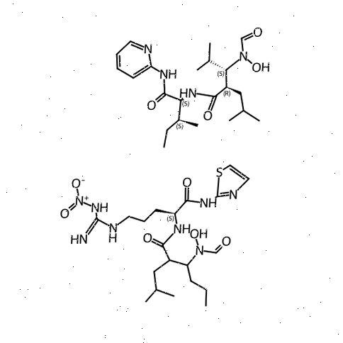 CCCC(C(CC(C)C)C(=O)N[C@@H](CCCNC(=N)N[N+](=O)[O-])C(=O)Nc1nccs1)N(O)C=O.CC[C@H](C)[C@H](NC(=O)[C@H](CC(C)C)[C@H](C(C)C)N(O)C=O)C(=O)Nc1ccccn1